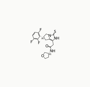 O=C(Cc1[nH]c(=S)n2c1C[C@H](c1c(F)ccc(F)c1F)C2)N[C@@H]1CCOC1